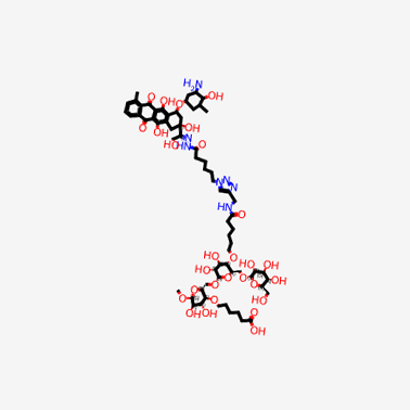 CO[C@H]1O[C@H](CO[C@H]2O[C@H](CO[C@H]3O[C@H](CO)[C@@H](O)[C@H](O)[C@H]3O)[C@@H](OCCCCCC(=O)NCc3cn(CCCCCC(=O)N/N=C(\CO)[C@]4(O)Cc5c(O)c6c(c(O)c5C(OC5CC(C)C(O)C(N)C5)C4)C(=O)c4c(C)cccc4C6=O)nn3)[C@H](O)[C@H]2O)[C@@H](OCCCCCC(=O)O)[C@H](O)[C@H]1O